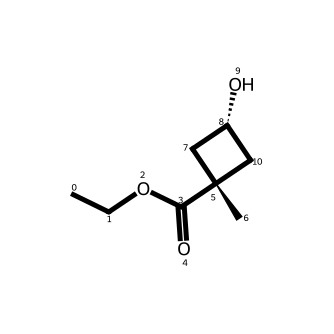 CCOC(=O)[C@]1(C)C[C@H](O)C1